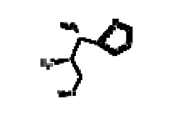 CN[C@H](c1ccco1)[C@H](C)COC